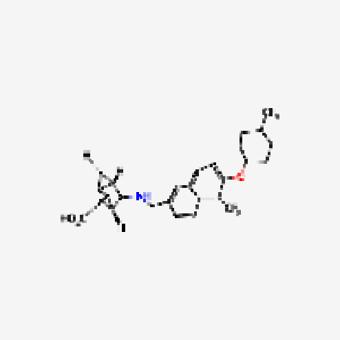 O=C(O)C1C2[C@H]3C(NCc4ccc5c(C(F)(F)F)c(OC6CCC(C(F)(F)F)CC6)ccc5c4)[C@@H]1C[C@@H]23